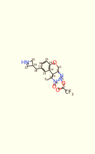 Cc1c2c(nn(OC(=O)C(F)(F)F)[n+]1=O)COc1ccc(CC3CNC3)cc1-2